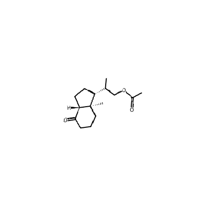 CC(=O)OCC(C)[C@H]1CC[C@H]2C(=O)CCC[C@]12C